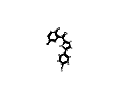 Cc1ccc(Cl)c(C(=O)c2ccc(-c3ccc(F)nc3)s2)c1